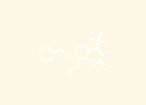 CCCc1c(OCc2ccccc2)ccc2c(C(C)(C)C)c(C)c(=O)oc12